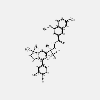 COc1cc(C(=O)NC[C@](O)(c2cc3c(c(-c4ccc(F)c(Cl)c4)n2)OCC3(C)C)C(F)(F)F)cc2cc(C)cnc12